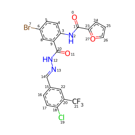 O=C(Nc1ccc(Br)cc1C(=O)N/N=C/c1ccc(Cl)c(C(F)(F)F)c1)c1ccco1